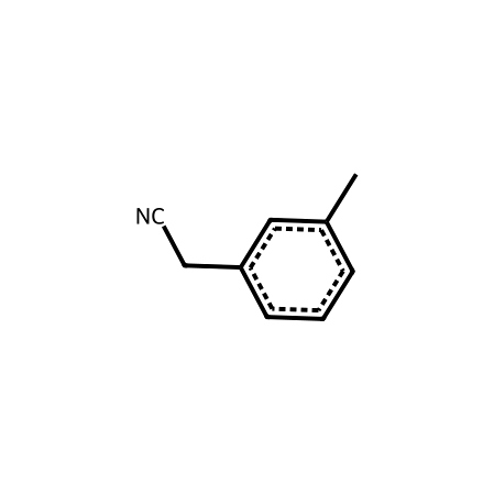 Cc1cccc(CC#N)c1